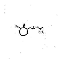 C=C1C(C(C)C)CCCCN1CCNC(C)N